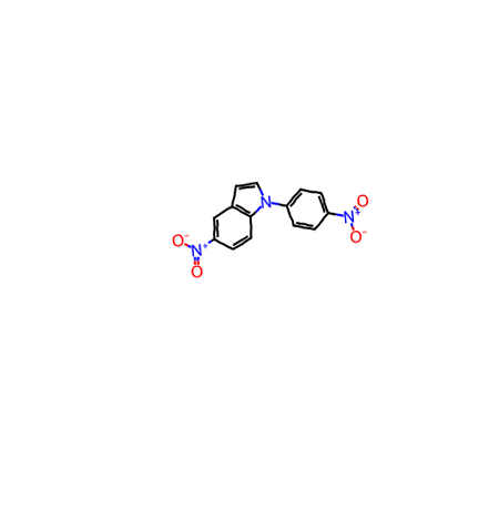 O=[N+]([O-])c1ccc(-n2ccc3cc([N+](=O)[O-])ccc32)cc1